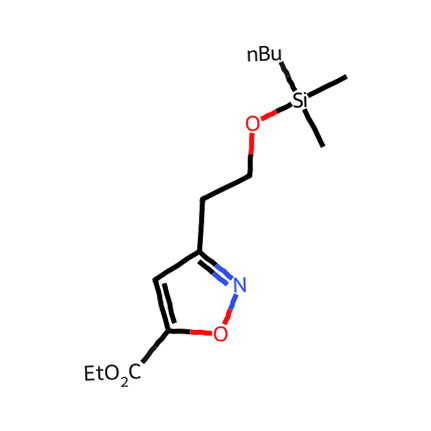 CCCC[Si](C)(C)OCCc1cc(C(=O)OCC)on1